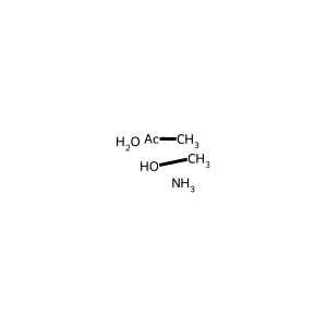 CC(C)=O.CO.N.O